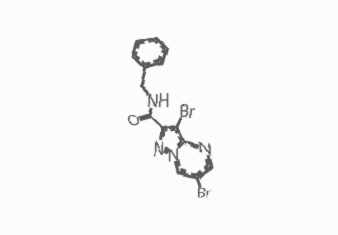 O=C(NCc1ccccc1)c1nn2cc(Br)cnc2c1Br